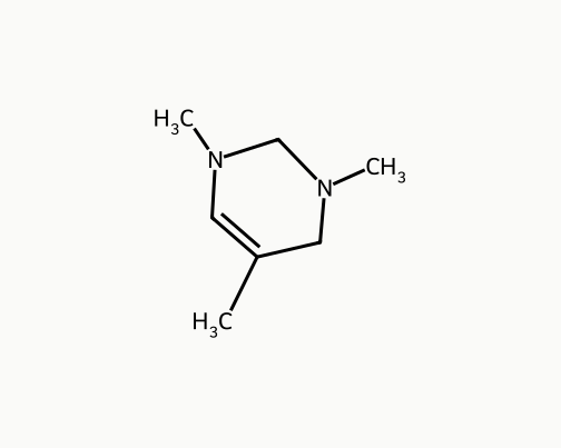 CC1=CN(C)CN(C)C1